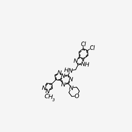 Cn1cc(-c2cnn3c(NCc4nc5cc(Cl)c(Cl)cc5[nH]4)nc(N4CCOCC4)nc23)cn1